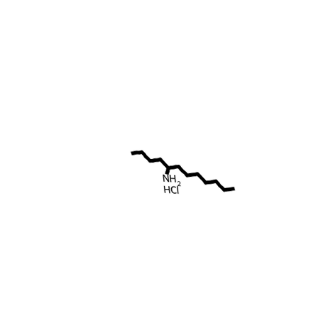 CCCCCCCC(N)CCCC.Cl